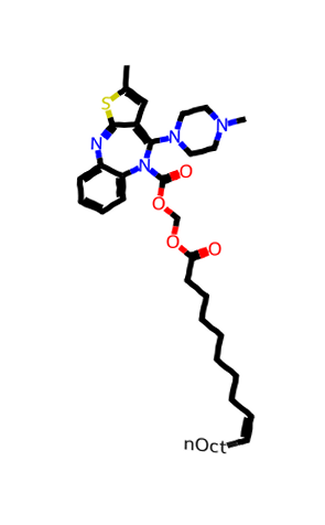 CCCCCCCC/C=C\CCCCCCCC(=O)OCOC(=O)N1C(N2CCN(C)CC2)=c2cc(C)sc2=Nc2ccccc21